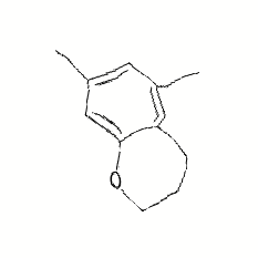 Cc1cc(C)c2c(c1)OCCC2